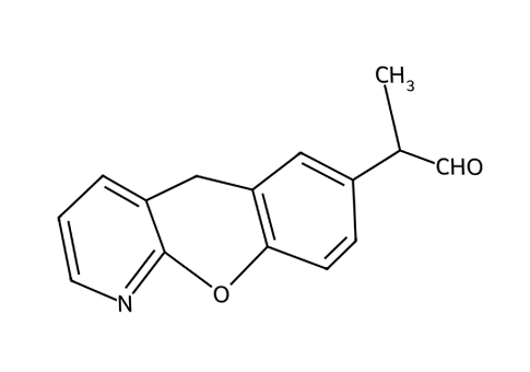 CC(C=O)c1ccc2c(c1)Cc1cccnc1O2